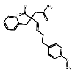 COc1ccc(CC/C=C/C(CC(N)=O)(Cc2ccccc2)C(=O)O)cc1